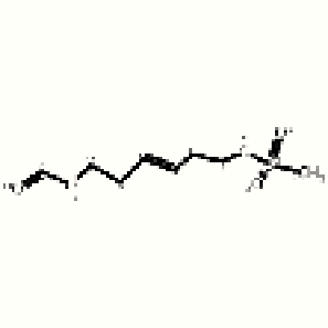 CS(=O)(=O)OCC/C=C/CCOC=O